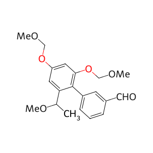 COCOc1cc(OCOC)c(-c2cccc(C=O)c2)c(C(C)OC)c1